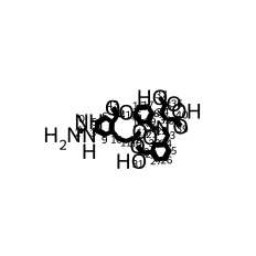 N=C(N)Nc1ccc2c(c1)CCCOc1c(cccc1C(=O)N(Cc1cccc(C(=O)O)c1)C(CC(=O)O)C(=O)O)OC2=O